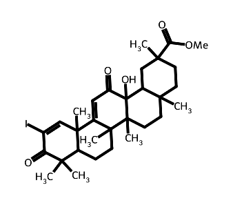 COC(=O)C1(C)CCC2(C)CCC3(C)C4(C)CCC5C(C)(C)C(=O)C(I)=CC5(C)C4=CC(=O)C3(O)C2C1